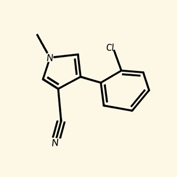 Cn1cc(C#N)c(-c2ccccc2Cl)c1